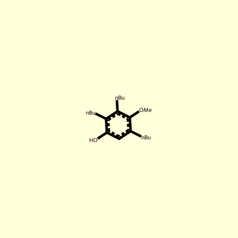 CCCCc1cc(O)c(CCCC)c(CCCC)c1OC